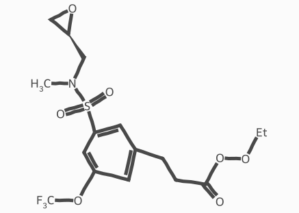 CCOOC(=O)CCc1cc(OC(F)(F)F)cc(S(=O)(=O)N(C)C[C@H]2CO2)c1